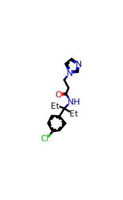 CCC(CC)(NC(=O)CCn1ccnc1)c1ccc(Cl)cc1